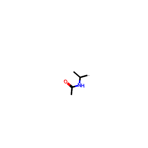 [CH2]C(C)NC(C)=O